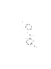 Cc1ccc2c(c1F)CCCC2Nc1ncnc(N)n1